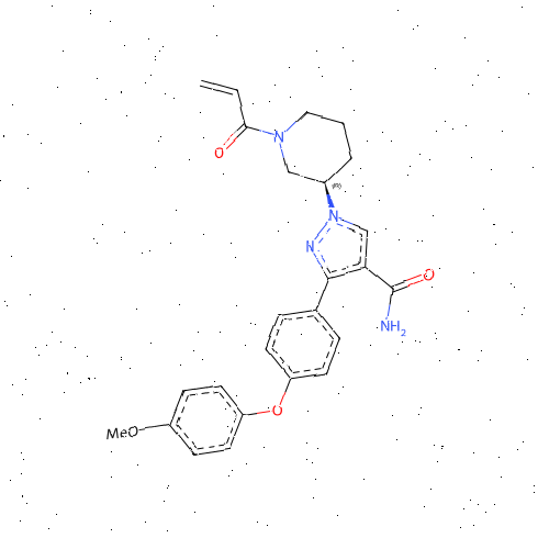 C=CC(=O)N1CCC[C@@H](n2cc(C(N)=O)c(-c3ccc(Oc4ccc(OC)cc4)cc3)n2)C1